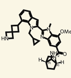 COc1cc(C(=O)N2C[C@H]3CC[C@@H]2C3N)cc2nc(-c3cc4cccc(C5CC6(CNC6)C5)c4n3CC3CC3)n(C)c12